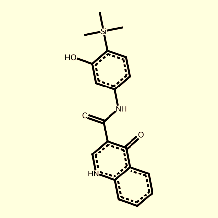 C[Si](C)(C)c1ccc(NC(=O)c2c[nH]c3ccccc3c2=O)cc1O